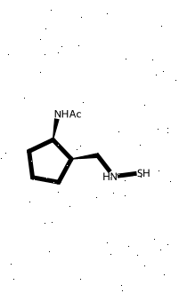 CC(=O)N[C@@H]1CCC[C@@H]1CNS